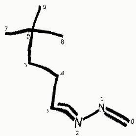 C=N/N=C\CCC(C)(C)C